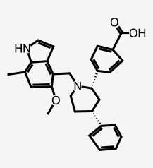 COc1cc(C)c2[nH]ccc2c1CN1CC[C@@H](c2ccccc2)C[C@H]1c1ccc(C(=O)O)cc1